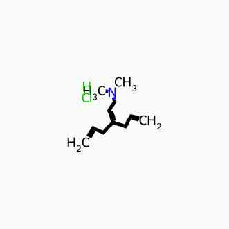 C=CCC(=CCN(C)C)CC=C.Cl